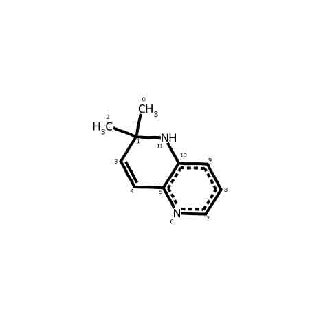 CC1(C)C=Cc2ncccc2N1